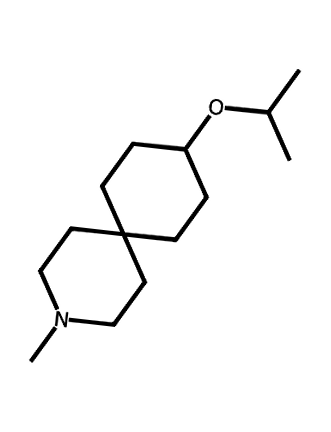 CC(C)OC1CCC2(CC1)CCN(C)CC2